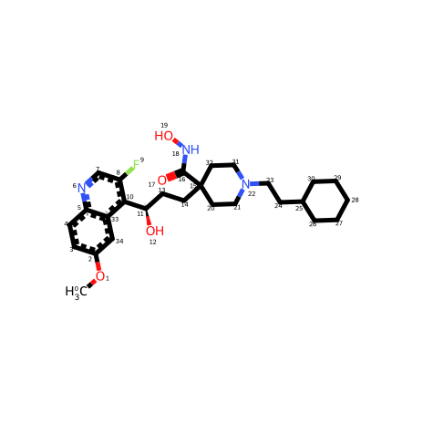 COc1ccc2ncc(F)c([C@H](O)CCC3(C(=O)NO)CCN(CCC4CCCCC4)CC3)c2c1